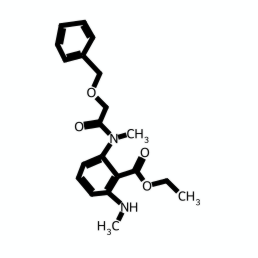 CCOC(=O)c1c(NC)cccc1N(C)C(=O)COCc1ccccc1